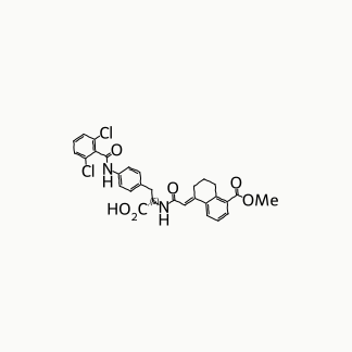 COC(=O)c1cccc2c1CCCC2=CC(=O)N[C@@H](Cc1ccc(NC(=O)c2c(Cl)cccc2Cl)cc1)C(=O)O